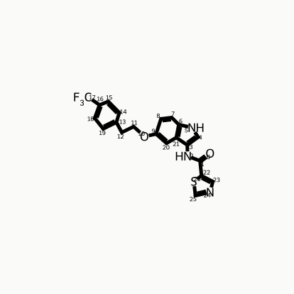 O=C(Nc1c[nH]c2ccc(OCCc3ccc(C(F)(F)F)cc3)cc12)c1cncs1